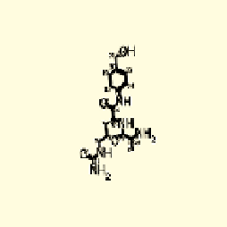 C[C@H](N)C(=O)N[C@@H](CCCNC(N)=O)C(=O)Nc1ccc(CO)cc1